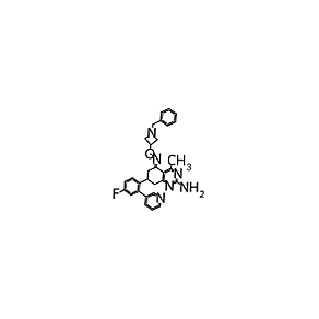 Cc1nc(N)nc2c1/C(=N/OC1CN(Cc3ccccc3)C1)CC(c1ccc(F)cc1-c1cccnc1)C2